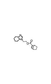 O=C(OCCn1cnc2ccccc21)C1CC2CCC1O2